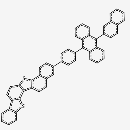 c1ccc2cc(-c3c4ccccc4c(-c4ccc(-c5ccc6c(ccc7c6sc6ccc8c9ccccc9sc8c67)c5)cc4)c4ccccc34)ccc2c1